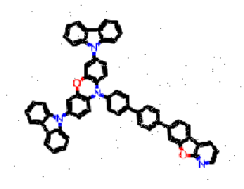 c1cnc2oc3cc(-c4ccc(-c5ccc(N6c7ccc(-n8c9ccccc9c9ccccc98)cc7Oc7cc(-n8c9ccccc9c9ccccc98)ccc76)cc5)cc4)ccc3c2c1